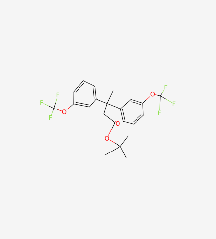 CC(C)(C)OC(=O)CC(C)(c1cccc(OC(F)(F)F)c1)c1cccc(OC(F)(F)F)c1